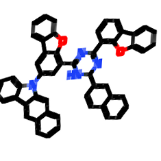 c1ccc2cc(C3N=C(c4cccc5c4oc4ccccc45)N=C(c4cc(-n5c6ccccc6c6cc7ccccc7cc65)cc5c4oc4ccccc45)N3)ccc2c1